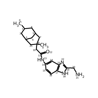 CC1CC2CC(C1)CC(C)(CC(=O)Nc1ccc3[nH]c(CN)nc3c1)C2